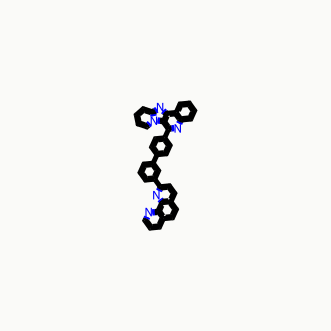 c1cc(-c2ccc(-c3nc4ccccc4c4nc5ccccn5c34)cc2)cc(-c2ccc3ccc4cccnc4c3n2)c1